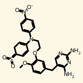 COc1ccc(Cc2cnc(N)nc2N)cc1OCCN(C1=CCC(=S(=O)=O)C=C1)c1ccc([N+](=O)[O-])cc1